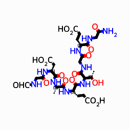 C[C@H](NC(=O)[C@H](CC(=O)O)NC(=O)CNC=O)C(=O)N[C@@H](CCC(=O)O)C(=O)NC(C(=O)NCC(=O)N[C@@H](CCC(=O)O)C(=O)NCC(N)=O)[C@H](C)O